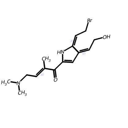 C/C(=C\CN(C)C)C(=O)c1cc(=C/CO)/c(=C\CBr)[nH]1